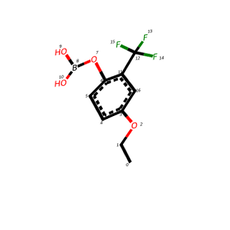 CCOc1ccc(OB(O)O)c(C(F)(F)F)c1